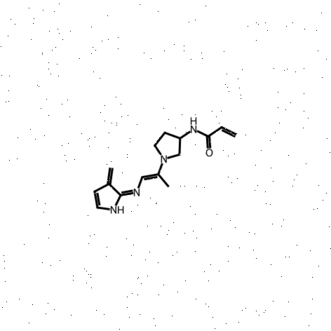 C=CC(=O)NC1CCN(/C(C)=C/N=C2/NC=CC2=C)C1